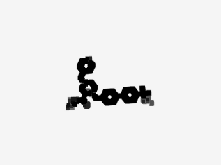 CC(C)NC(=O)[C@H]1CN(Cc2ccncc2)CCN1Cc1ccc(-c2ccc(C(C)(C)C(F)(F)F)cc2)cc1